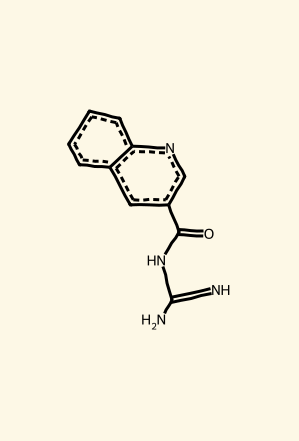 N=C(N)NC(=O)c1cnc2ccccc2c1